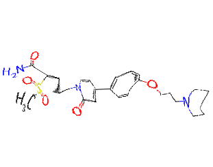 CS(=O)(=O)C(CCn1ccc(-c2ccc(OCCCN3CCCC3)cc2)cc1=O)C(N)=O